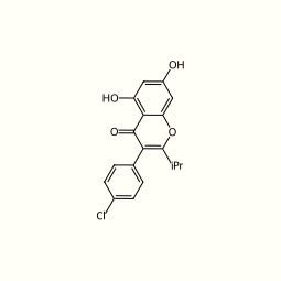 CC(C)c1oc2cc(O)cc(O)c2c(=O)c1-c1ccc(Cl)cc1